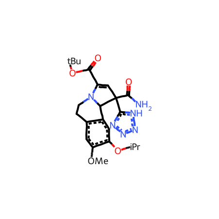 COc1cc2c(cc1OC(C)C)C1N(CC2)C(C(=O)OC(C)(C)C)=CC1(C(N)=O)c1nnn[nH]1